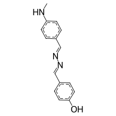 CNc1ccc(/C=N/N=C/c2ccc(O)cc2)cc1